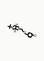 CC(C)(C)N1C[C@H]2CN(CCOCc3ccc(Cl)cc3)C[C@H]2C1